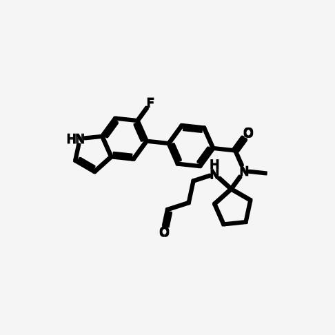 CN(C(=O)c1ccc(-c2cc3cc[nH]c3cc2F)cc1)C1(NCCC=O)CCCC1